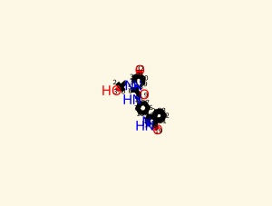 CC(C)(O)Cn1cc(C(=O)N[C@H]2CC[C@H](c3n[nH]c(=O)c4ccccc43)CC2)n2ccc(=O)cc12